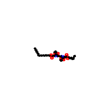 CC/C=C\CCCOC(=O)CCN(CCCCN(CCC(=O)OCCCCCCCC/C=C\CCCCCCCC)C(=O)OC(C)(C)C)C(=O)OC(C)(C)C